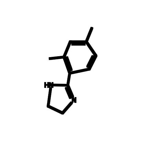 Cc1ccc(C2=NCCN2)c(C)c1